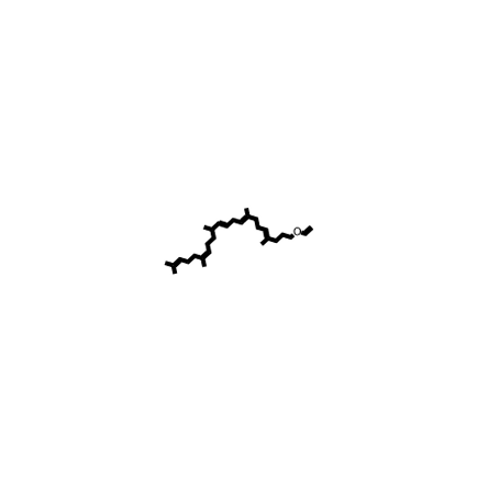 C=COCCCC(C)=CCCC(C)=CCC=CC(C)CCC=C(C)CCC=C(C)C